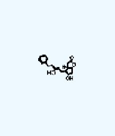 O=C1C[C@@H]2C(CC(O)C2CCC(O)CCc2ccccc2)O1